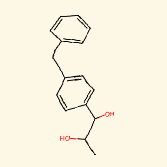 CC(O)C(O)c1ccc(Cc2ccccc2)cc1